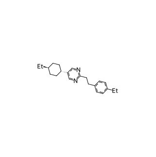 CCc1ccc(CCc2ncc([C@H]3CC[C@H](CC)CC3)cn2)cc1